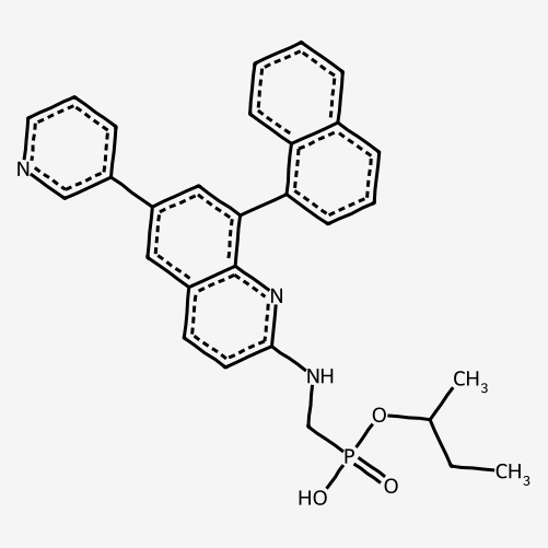 CCC(C)OP(=O)(O)CNc1ccc2cc(-c3cccnc3)cc(-c3cccc4ccccc34)c2n1